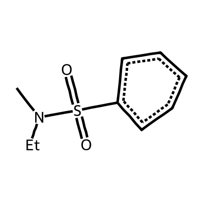 [CH2]CN(C)S(=O)(=O)c1ccccc1